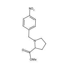 COC(=O)C1CCCN1Cc1ccc([N+](=O)[O-])cc1